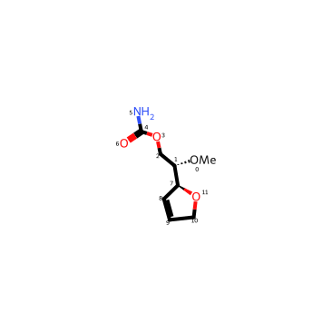 CO[C@@H](COC(N)=O)[C@@H]1C=CCO1